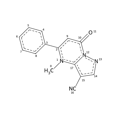 Cn1c(-c2ccccc2)cc(=O)n2ncc(C#N)c12